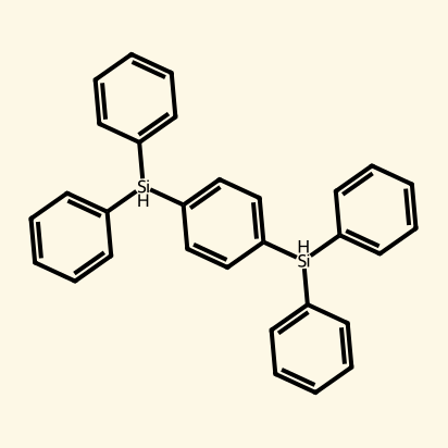 c1ccc([SiH](c2ccccc2)c2ccc([SiH](c3ccccc3)c3ccccc3)cc2)cc1